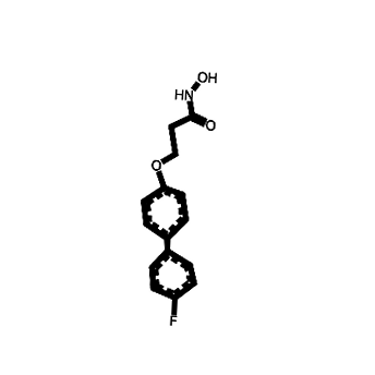 O=C(CCOc1ccc(-c2ccc(F)cc2)cc1)NO